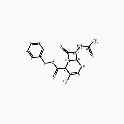 O=C(OCc1ccccc1)C1C(C(F)(F)F)=CSC2[C@H](NC(=O)C(F)(F)F)C(=O)N12